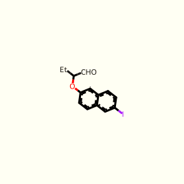 CCC(C=O)Oc1[c]c2ccc(I)cc2cc1